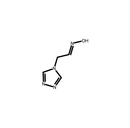 ON=CCn1[c]nnc1